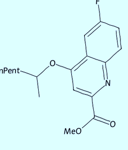 CCCCCC(C)Oc1cc(C(=O)OC)nc2ccc(F)cc12